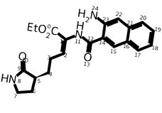 CCOC(=O)C(=CCC[C@H]1CCNC1=O)NC(=O)c1cc2ccccc2cc1N